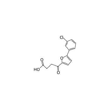 O=C(O)CCC(=O)c1ccc(-c2cccc(Cl)c2)o1